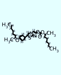 CCCCCC[C@H](C)OC(=O)Oc1cn2cc(-c3ccc(O[C@@H](C)CCCCCC)cc3)sc2n1